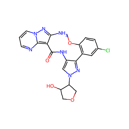 COc1ccc(Cl)cc1-c1nn(C2COCC2O)cc1NC(=O)c1c(N)nn2cccnc12